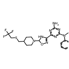 CN(c1ccccc1)c1nc(N)nc(C2=NOC(N3CCC(CSCC(F)(F)F)CC3)N2)n1